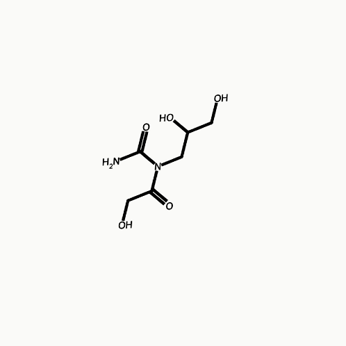 NC(=O)N(CC(O)CO)C(=O)CO